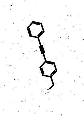 [CH2]Cc1ccc(C#Cc2ccccc2)cc1